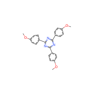 COc1ccc(-c2nc(-c3ccc(OC)cc3)nc(-c3ccc(OC)cc3)n2)cc1